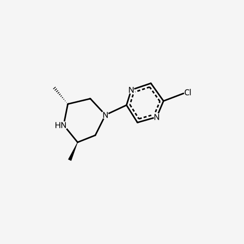 C[C@@H]1CN(c2cnc(Cl)cn2)C[C@@H](C)N1